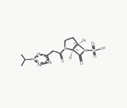 CC(C)n1nnc(CC(=O)N2CC[C@@H]3[C@H]2C(=O)N3S(=O)(=O)O)n1